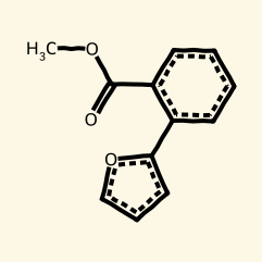 COC(=O)c1ccccc1-c1ccco1